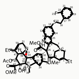 CCC1=C[C@H]2CN(C1)Cc1c([nH]c3ccc(SCc4ccccc4F)cc13)[C@@](C(=O)OC)(c1cc3c(cc1OC)N(C)[C@H]1[C@@](O)(C(=O)OC)[C@H](OC(C)=O)C4C(CC)=CCN5CC[C@]31[C@H]45)C2